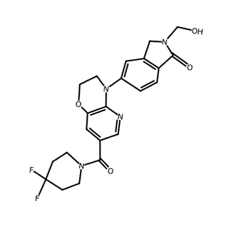 O=C(c1cnc2c(c1)OCCN2c1ccc2c(c1)CN(CO)C2=O)N1CCC(F)(F)CC1